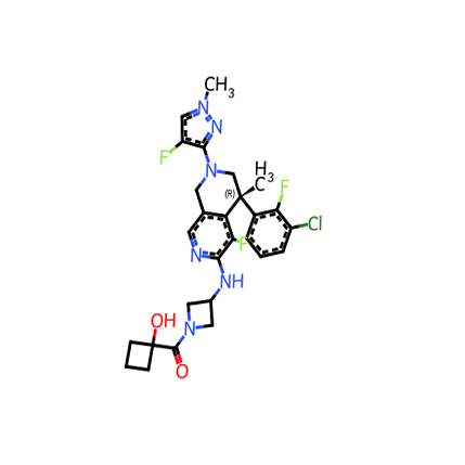 Cn1cc(F)c(N2Cc3cnc(NC4CN(C(=O)C5(O)CCC5)C4)c(F)c3[C@@](C)(c3cccc(Cl)c3F)C2)n1